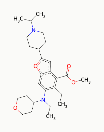 CCc1c(N(CC)C2CCOCC2)cc2oc(C3CCN(C(C)C)CC3)cc2c1C(=O)OC